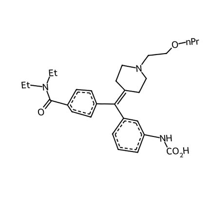 CCCOCCN1CCC(=C(c2ccc(C(=O)N(CC)CC)cc2)c2cccc(NC(=O)O)c2)CC1